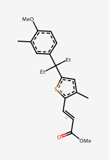 CCC(CC)(c1ccc(OC)c(C)c1)c1cc(C)c(/C=C/C(=O)OC)s1